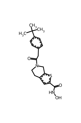 CC(C)(C)c1ccc(CC(=O)N2CCc3cc(C(=O)NO)sc3C2)cc1